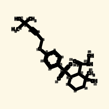 CC(C)(O)C#CCOc1ccc(S(=O)(=O)N2CCCC(C)(O)C2C(=O)NO)cc1